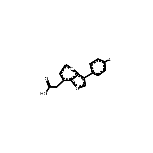 O=C(O)Cc1cccc2c(-c3ccc(Cl)cc3)coc12